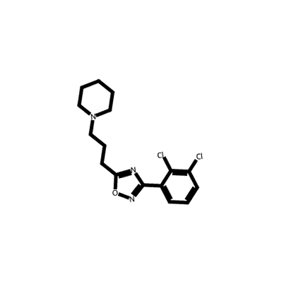 Clc1cccc(-c2noc(CCCN3CCCCC3)n2)c1Cl